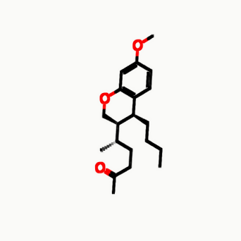 CCCC[C@@H]1c2ccc(OC)cc2OC[C@@H]1[C@@H](C)CCC(C)=O